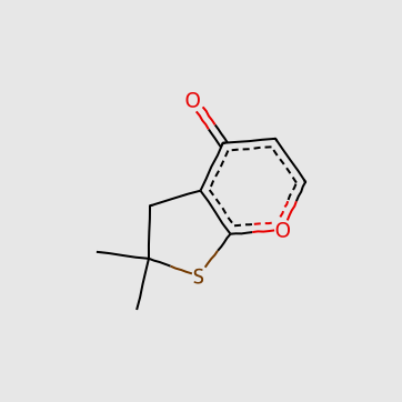 CC1(C)Cc2c(occc2=O)S1